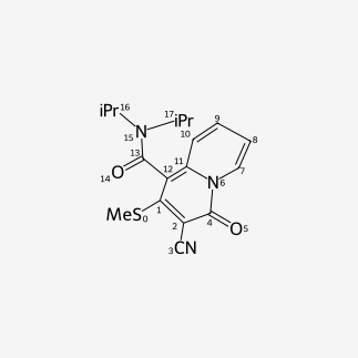 CSc1c(C#N)c(=O)n2ccccc2c1C(=O)N(C(C)C)C(C)C